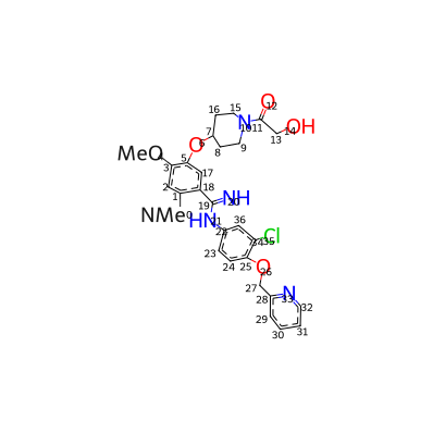 CNc1cc(OC)c(OC2CCN(C(=O)CO)CC2)cc1C(=N)Nc1ccc(OCc2ccccn2)c(Cl)c1